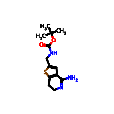 CC(C)(C)OC(=O)NCc1cc2c(s1)CCN=C2N